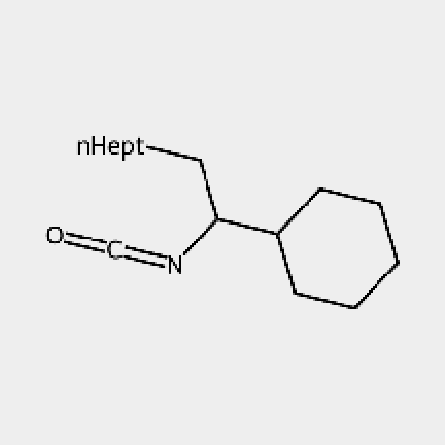 CCCCCCCCC(N=C=O)C1CCCCC1